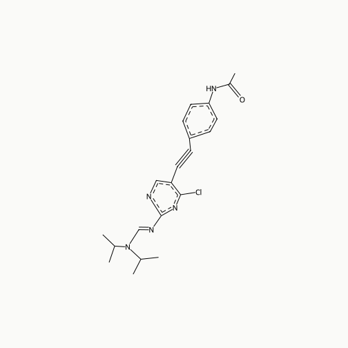 CC(=O)Nc1ccc(C#Cc2cnc(/N=C/N(C(C)C)C(C)C)nc2Cl)cc1